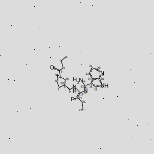 CCCC(=O)N1CC[C@H](CNC(/N=C(\N)c2c[nH]c3ncccc23)=C(\F)CI)C1